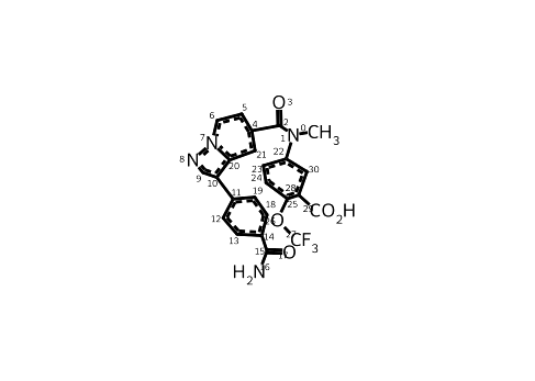 CN(C(=O)c1ccn2ncc(-c3ccc(C(N)=O)cc3)c2c1)c1ccc(OC(F)(F)F)c(C(=O)O)c1